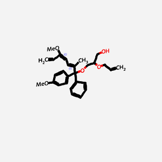 C=CCOC(CO)COC(/C(C)=C/C=C(\C=C)OC)(c1ccccc1)c1ccc(OC)cc1